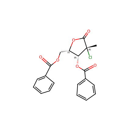 C[C@]1(Cl)C(=O)O[C@@H](COC(=O)c2ccccc2)[C@H]1OC(=O)c1ccccc1